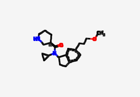 COCCCc1ccc2c(c1)C(N(C(=O)[C@@H]1CCCNC1)C1CC1)CC2